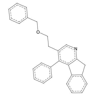 c1ccc(COCCc2cnc3c(c2-c2ccccc2)-c2ccccc2C3)cc1